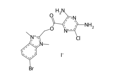 Cn1c(COC(=O)c2nc(Cl)c(N)nc2N)[n+](C)c2ccc(Br)cc21.[I-]